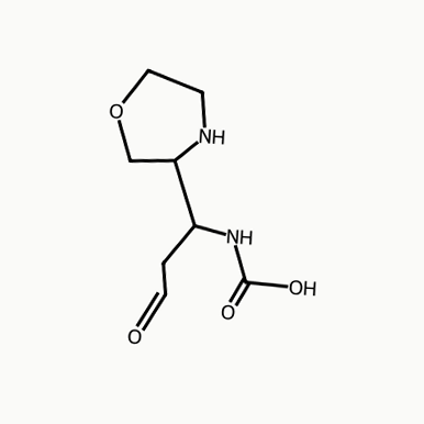 O=CCC(NC(=O)O)C1COCCN1